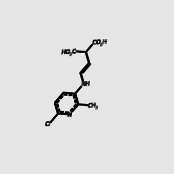 Cc1nc(Cl)ccc1NC=CC(C(=O)O)C(=O)O